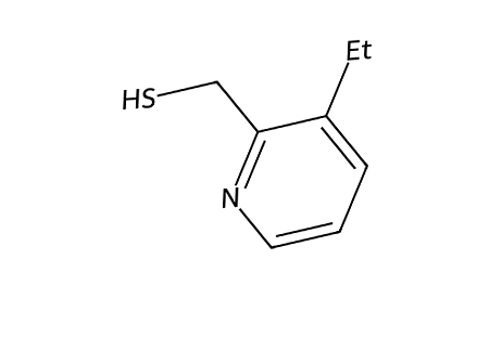 CCc1cccnc1CS